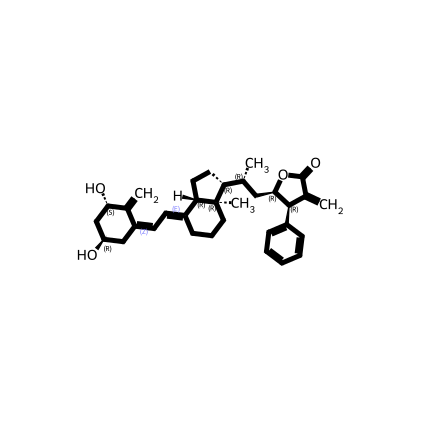 C=C1/C(=C\C=C2/CCC[C@]3(C)[C@@H]([C@H](C)C[C@H]4OC(=O)C(=C)[C@H]4c4ccccc4)CC[C@@H]23)C[C@@H](O)C[C@@H]1O